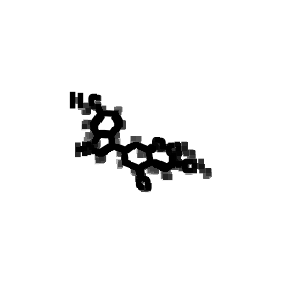 Cc1ccc2c(C3CC(=O)C(=CN(C)C)C(=O)C3)c[nH]c2c1